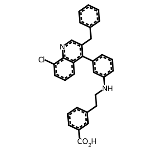 O=C(O)c1cccc(CCNc2cccc(-c3c(Cc4ccccc4)cnc4c(Cl)cccc34)c2)c1